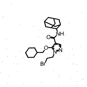 O=C(NC1C2CC3CC(C2)CC1C3)c1cnn(CCBr)c1OCC1CCCCC1